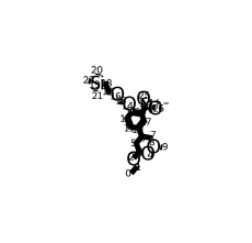 CCOC(=O)CC(COC)c1ccc(OCOCC[Si](C)(C)C)c([N+](=O)[O-])c1